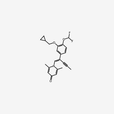 CC#CC(=Cn1c(C)cc(=O)cc1C)c1ccc(OC(F)F)c(OCC2CC2)c1